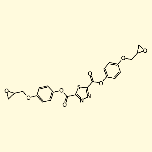 O=C(Oc1ccc(OCC2CO2)cc1)c1nnc(C(=O)Oc2ccc(OCC3CO3)cc2)s1